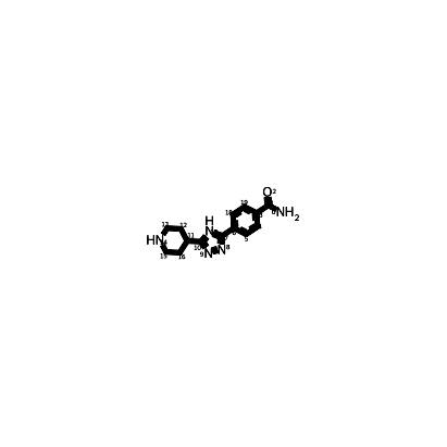 NC(=O)c1ccc(-c2nnc(C3CCNCC3)[nH]2)cc1